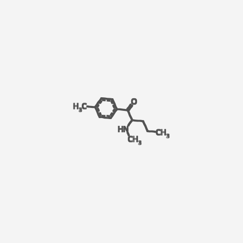 CCCC(NC)C(=O)c1ccc(C)cc1